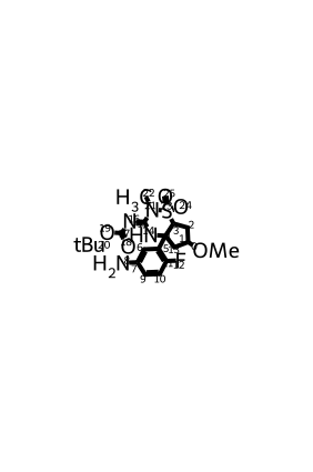 COC1CC2C(c3cc(N)ccc3F)(C1)N/C(=N\C(=O)OC(C)(C)C)N(C)S2(=O)=O